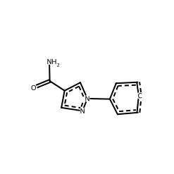 NC(=O)c1cnn(-c2ccccc2)c1